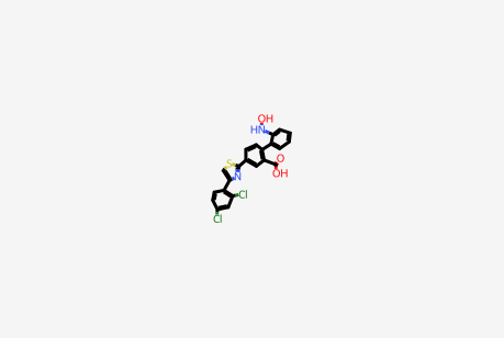 O=C(O)c1cc(-c2nc(-c3ccc(Cl)cc3Cl)cs2)ccc1-c1ccccc1NO